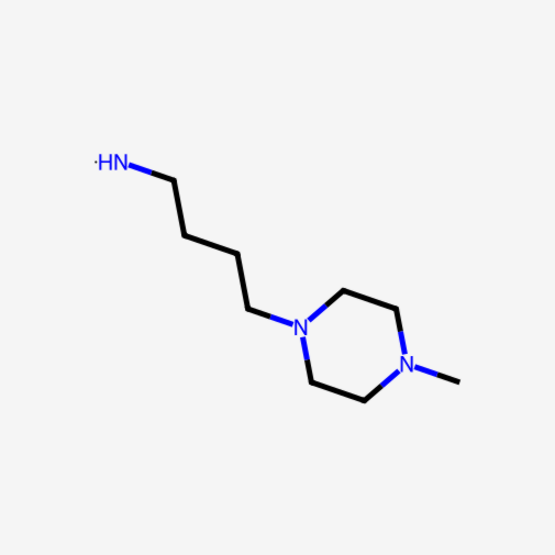 CN1CCN(CCCC[NH])CC1